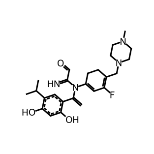 C=C(c1cc(C(C)C)c(O)cc1O)N(C(=N)C=O)C1=CC(F)=C(CN2CCN(C)CC2)CC1